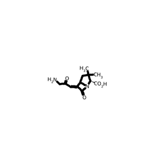 CC1(C)CC2/C(=C\C(=O)CN)C(=O)N2[C@H]1C(=O)O